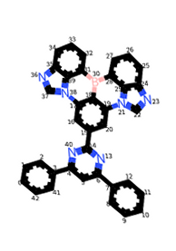 c1ccc(-c2cc(-c3ccccc3)nc(-c3cc4c5c(c3)-n3cnc6cccc(c63)B5c3cccc5ncn-4c35)n2)cc1